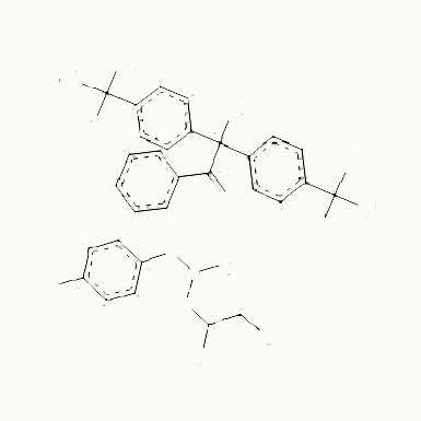 CC(C)(C)c1ccc(C(S)(C(=O)c2ccccc2)c2ccc(C(C)(C)C)cc2)cc1.CCC(C)OB(O)Oc1ccc(F)cc1